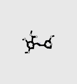 COC(=O)c1c(/C=C/c2ccnc(OC)c2)cc(OC)cc1OC